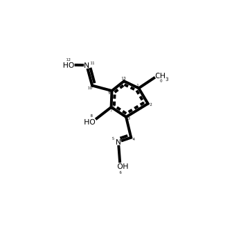 Cc1cc(C=NO)c(O)c(C=NO)c1